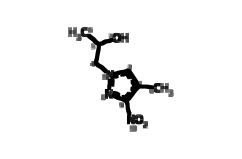 Cc1cn(CC(C)O)nc1[N+](=O)[O-]